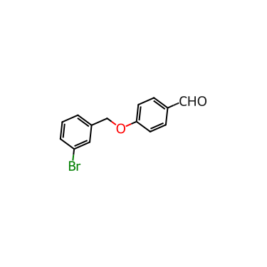 O=Cc1ccc(OCc2cccc(Br)c2)cc1